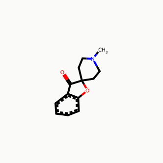 CN1CCC2(CC1)Oc1ccccc1C2=O